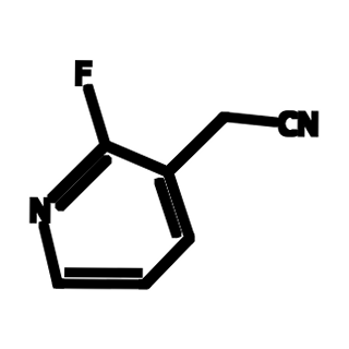 N#CCc1cccnc1F